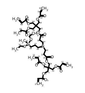 C=CC(=O)OCC(COC(=O)C=C)(COC(=O)C=C)COC(=O)CCN(CCC[Si](C)(OCC)OCC)CCC(=O)OCC(COC(=O)C=C)(COC(=O)C=C)COC(=O)C=C